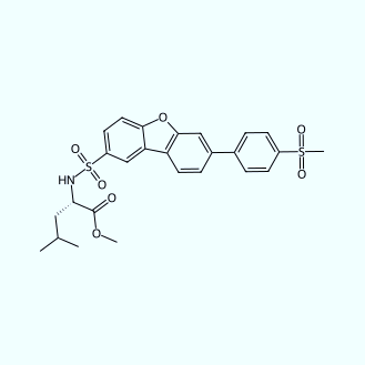 COC(=O)[C@H](CC(C)C)NS(=O)(=O)c1ccc2oc3cc(-c4ccc(S(C)(=O)=O)cc4)ccc3c2c1